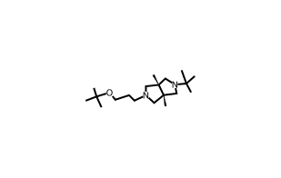 CC(C)(C)OCCCN1C[C@@]2(C)CN(C(C)(C)C)C[C@@]2(C)C1